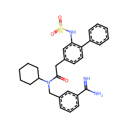 N=C(N)c1cccc(CN(C(=O)Cc2ccc(-c3ccccc3)c(N[SH](=O)=O)c2)C2CCCCC2)c1